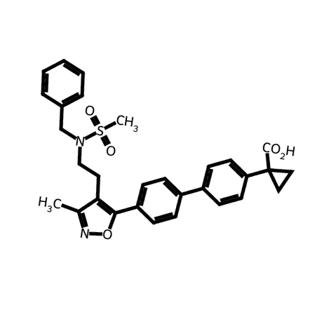 Cc1noc(-c2ccc(-c3ccc(C4(C(=O)O)CC4)cc3)cc2)c1CCN(Cc1ccccc1)S(C)(=O)=O